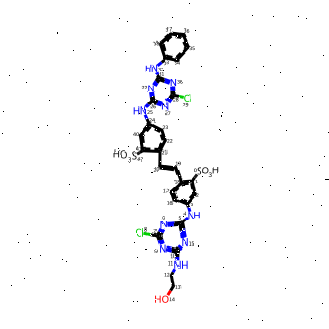 O=S(=O)(O)c1cc(Nc2nc(Cl)nc(NCCO)n2)ccc1/C=C/c1ccc(Nc2nc(Cl)nc(Nc3ccccc3)n2)cc1S(=O)(=O)O